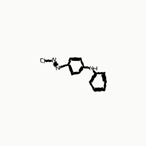 ClN=Nc1ccc(Nc2ccccc2)cc1